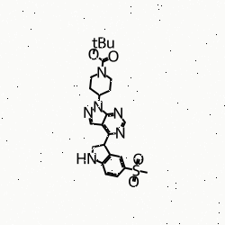 CC(C)(C)OC(=O)N1CCC(n2ncc3c(C4CNc5ccc(S(C)(=O)=O)cc54)ncnc32)CC1